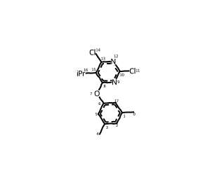 Cc1cc(C)cc(Oc2nc(Cl)nc(Cl)c2C(C)C)c1